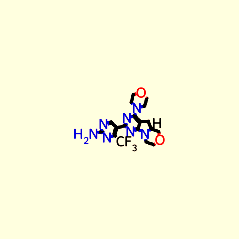 Nc1ncc(-c2nc(N3CCOCC3)c3c(n2)N2CCOC[C@H]2C3)c(C(F)(F)F)n1